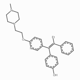 CCC(=C(c1ccc(O)cc1)c1ccc(OCCN2CCN(C)CC2)nc1)c1ccccc1